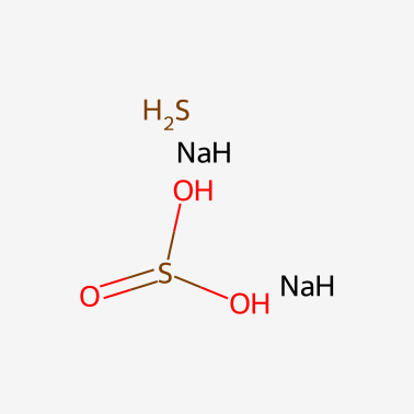 O=S(O)O.S.[NaH].[NaH]